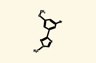 COc1cc(Br)cc(-c2ncn(C)n2)c1